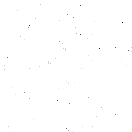 CCc1cc2c(cc1CC)N(c1ccc(C(C)C)cc1)C(=C1N(c3ccc(C(C)C)cc3)c3cc(CC)c(CC)cc3N1c1ccc(C(C)C)cc1)N2c1ccc(C(C)C)cc1